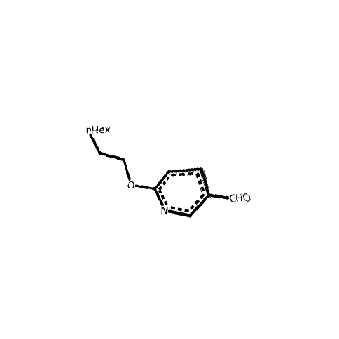 CCCCCCCCOc1ccc([C]=O)cn1